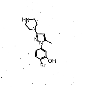 Cc1cc(N2CCNCC2)nn1-c1ccc(Br)c(O)c1